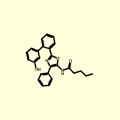 CCCCC(=O)Nc1oc(-c2ccccc2-c2cccc(O)c2)nc1-c1ccccc1